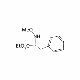 CCOC(=O)C(Cc1ccccc1)NOC